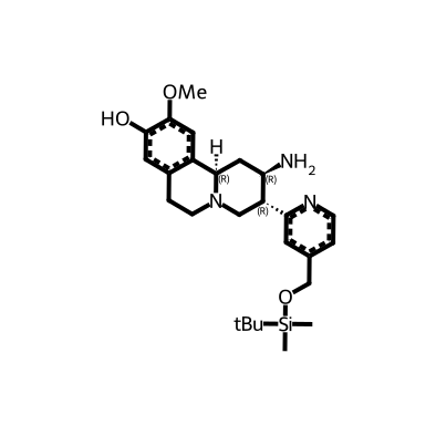 COc1cc2c(cc1O)CCN1C[C@@H](c3cc(CO[Si](C)(C)C(C)(C)C)ccn3)[C@H](N)C[C@H]21